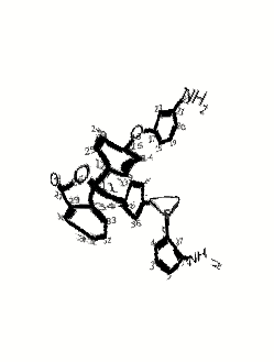 Nc1cccc(Oc2ccc(C3(c4ccc(Oc5cccc(N)c5)cc4)OC(=O)c4ccccc43)cc2)c1